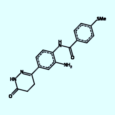 CSc1ccc(C(=O)Nc2ccc(C3=NNC(=O)CC3)cc2N)cc1